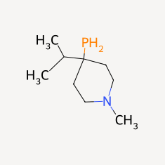 CC(C)C1(P)CCN(C)CC1